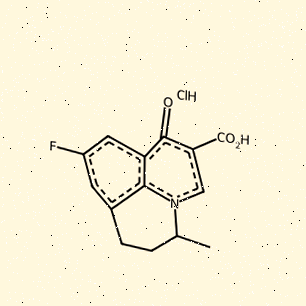 CC1CCc2cc(F)cc3c(=O)c(C(=O)O)cn1c23.Cl